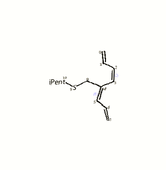 C=C/C=C\C(=C/C=C)CSC(C)CCC